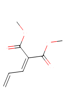 C=CC=C(C(=O)OC)C(=O)OC